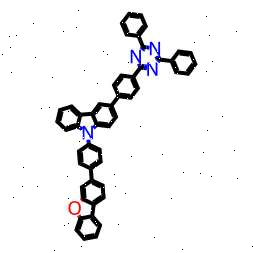 c1ccc(-c2nc(-c3ccccc3)nc(-c3ccc(-c4ccc5c(c4)c4ccccc4n5-c4ccc(-c5ccc6c(c5)oc5ccccc56)cc4)cc3)n2)cc1